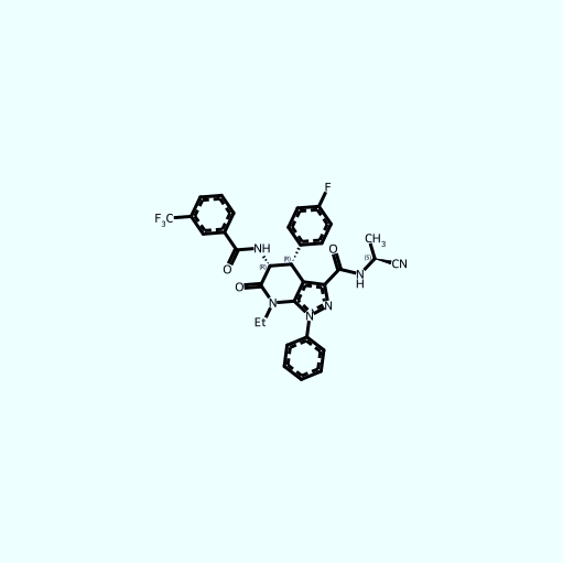 CCN1C(=O)[C@H](NC(=O)c2cccc(C(F)(F)F)c2)[C@H](c2ccc(F)cc2)c2c(C(=O)N[C@@H](C)C#N)nn(-c3ccccc3)c21